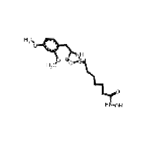 COc1ccc(CC2N[SH](CCCCCCC(=O)NO)OO2)c(OC)c1